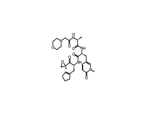 C[C@H](NC(=O)CN1CCOCC1)C(=O)N[C@@H](Cc1ccc(=O)n(C)c1)C(=O)N[C@@H](CC1=CCCC1)C(=O)[C@]1(C)CO1